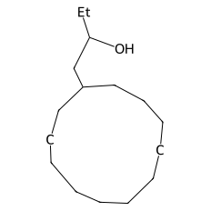 CCC(O)CC1CCCCCCCCCCC1